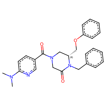 CN(C)c1ccc(C(=O)N2CC(=O)N(Cc3ccccc3)[C@@H](COc3ccccc3)C2)cn1